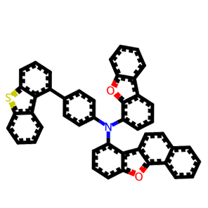 c1ccc2c(c1)ccc1c2oc2cccc(N(c3ccc(-c4cccc5sc6ccccc6c45)cc3)c3cccc4c3oc3ccccc34)c21